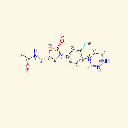 CC(=O)NC[C@H]1CN(c2ccc(N3C=NNCC3)c(F)c2)C(=O)O1